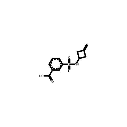 C=C1CC(NS(=O)(=O)c2cccc(C(=O)O)c2)C1